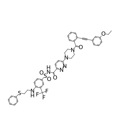 CCOc1cccc(C#Cc2ccccc2C(=O)N2CCN(c3ccc(C(=O)NS(=O)(=O)c4ccc(NCCSc5ccccc5)c(C(F)(F)F)c4)nn3)CC2)c1